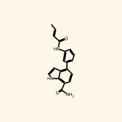 CC=CC(=O)Nc1cccc(-c2ccc(C(N)=O)c3[nH]ccc23)c1